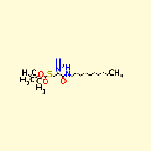 CCCCCCCCCCNC(=O)C(N)CSC(=O)OC(C)(C)C